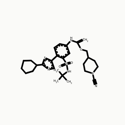 C=C(Nc1ccc(-c2cnc(C3CCCCC3)s2)c(S(=O)(=O)NC(C)(C)C)c1)OCC1CCB(C#N)CC1